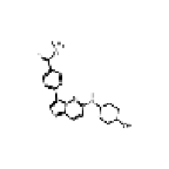 COC(=O)c1ccc(-c2cnc3ccc(NC4CCC(O)CC4)nn23)cc1